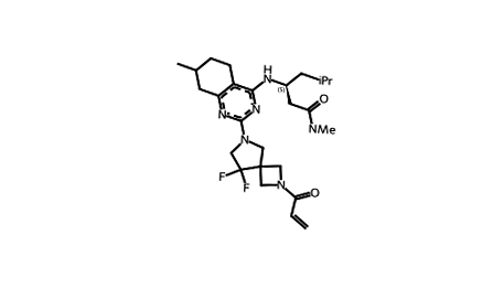 C=CC(=O)N1CC2(C1)CN(c1nc3c(c(N[C@H](CC(=O)NC)CC(C)C)n1)CCC(C)C3)CC2(F)F